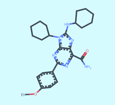 CCOc1ccc(-c2nc(C(N)=O)c3nc(NC4CCCCC4)n(C4CCCCC4)c3n2)cc1